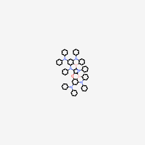 c1ccc(N(c2ccccc2)c2cc3c4c(c2)N(c2ccccc2)c2ccccc2B4c2c(c4c(n2-c2ccccc2)B2c5ccccc5N(c5ccccc5)c5cc(N(c6ccccc6)c6ccccc6)cc(c52)N4c2ccccc2)O3)cc1